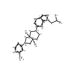 FC(F)Cn1ncc2ncc(N3CC[C@@H]4CN(c5ccnc(C(F)(F)F)c5)C[C@@H]4C3)nc21